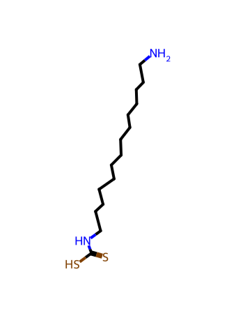 NCCCCCCCCCCCCCCNC(=S)S